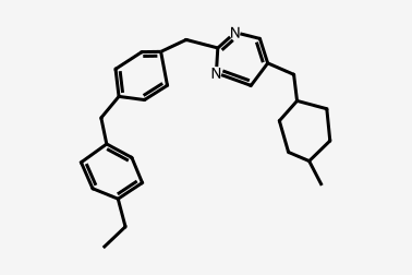 CCc1ccc(Cc2ccc(Cc3ncc(CC4CCC(C)CC4)cn3)cc2)cc1